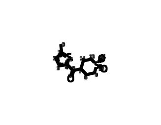 Cc1ccc(C(=O)C2CCS(=O)(=O)CC2)s1